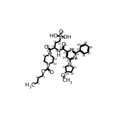 CCCCOC(=O)N1CCN(C(=O)C(CCP(=O)(O)O)NC(=O)c2cc(N3CCC(OC)C3)nc(-c3ccccc3)n2)CC1